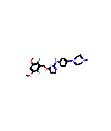 COc1cc(OC)c(F)c(COc2ccnc(Nc3ccc(N4CCN(C)CC4)cc3)n2)c1F